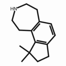 CC1(C)CCc2ccc3c(c21)CCNCC3